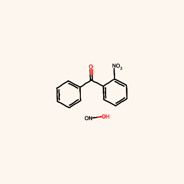 O=C(c1ccccc1)c1ccccc1[N+](=O)[O-].O=NO